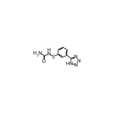 NC(=O)NSc1cccc(-c2nnn[nH]2)c1